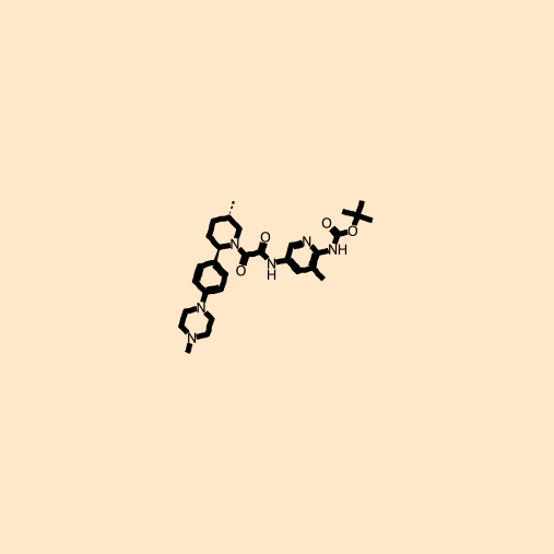 Cc1cc(NC(=O)C(=O)N2C[C@@H](C)CC[C@@H]2c2ccc(N3CCN(C)CC3)cc2)cnc1NC(=O)OC(C)(C)C